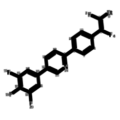 CC/C(F)=C(\F)c1ccc(-c2ccc(-c3cc(F)c(F)c(F)c3)cn2)cc1